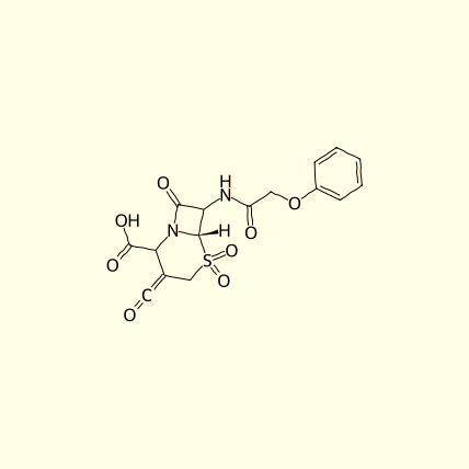 O=C=C1CS(=O)(=O)[C@H]2C(NC(=O)COc3ccccc3)C(=O)N2C1C(=O)O